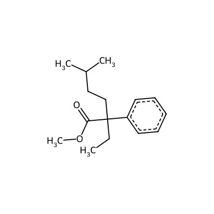 CCC(CCC(C)C)(C(=O)OC)c1ccccc1